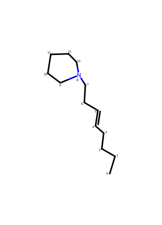 CCCC/C=C/CCN1CCCCC1